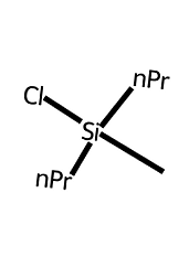 CCC[Si](C)(Cl)CCC